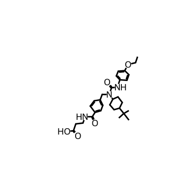 CCOc1ccc(NC(=O)N(Cc2ccc(C(=O)NCCC(=O)O)cc2)C2CCC(C(C)(C)C)CC2)cc1